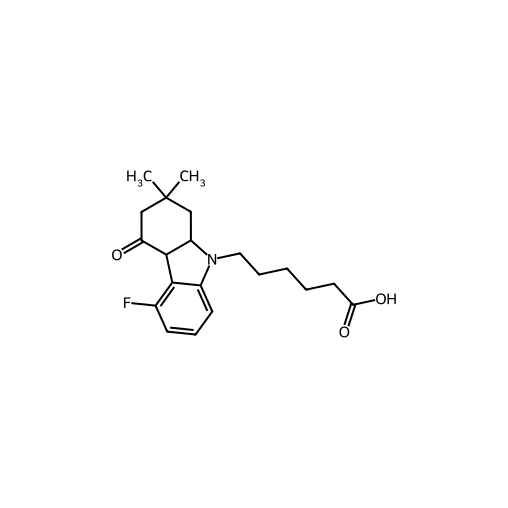 CC1(C)CC(=O)C2c3c(F)cccc3N(CCCCCC(=O)O)C2C1